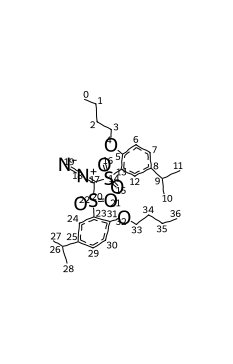 CCCCOc1ccc(C(C)C)cc1S(=O)(=O)C(=[N+]=[N-])S(=O)(=O)c1cc(C(C)C)ccc1OCCCC